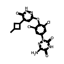 CC1CC(c2cc(Oc3c(Cl)cc(-n4nc(N)c(=O)[nH]c4=O)cc3Cl)n[nH]c2=O)C1